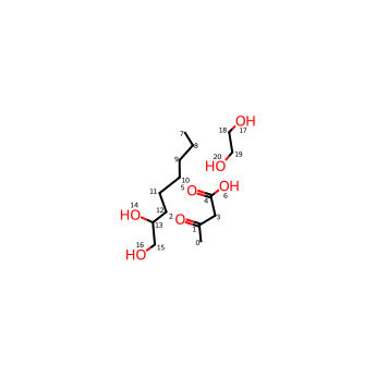 CC(=O)CC(=O)O.CCCCCCC(O)CO.OCCO